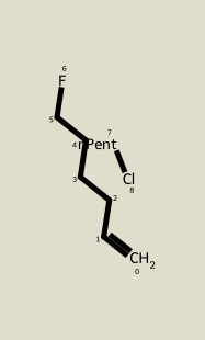 C=CCCCCF.CCCCCCl